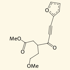 COCCC(CC(=O)OC)C(=O)C#Cc1ccco1